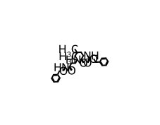 CC(C)CC(NC(=O)OCc1ccccc1)C(=O)NCCC(=O)NOCc1ccccc1